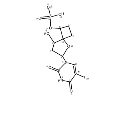 O=c1[nH]c(=O)n(C2CC(O)C3(CCC3OP(=O)(O)O)O2)cc1F